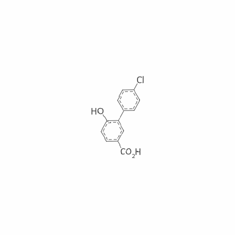 O=C(O)c1ccc(O)c(-c2ccc(Cl)cc2)c1